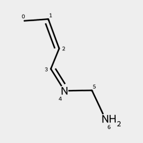 C/C=C\C=N/CN